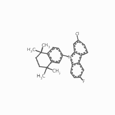 CC1(C)CCC(C)(C)c2cc(-n3c4ccc(F)cc4c4ccc(Cl)cc43)ccc21